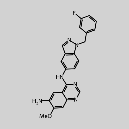 COc1cc2ncnc(Nc3ccc4c(cnn4Cc4cccc(F)c4)c3)c2cc1N